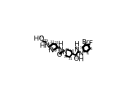 N=C(Nc1ccc(F)c(Br)c1)C(=O)C1CCN(C(=O)Nc2ccc(NCCO)nc2)CC1